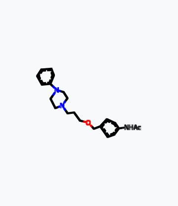 CC(=O)Nc1ccc(COCCCN2CCN(c3ccccc3)CC2)cc1